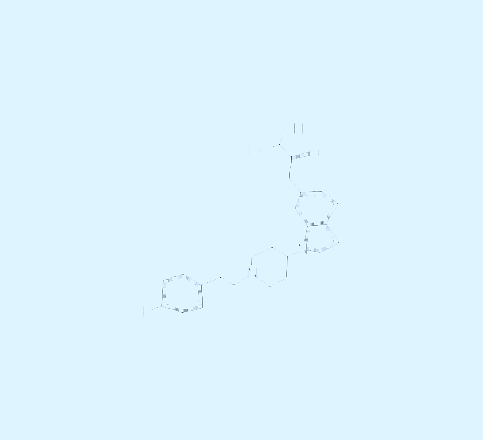 CC(C)C(=O)Cc1ccc2ccn(C3CCN(CCc4ccc(F)cc4)CC3)c2c1